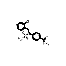 CS(=O)(=O)N(Cc1ccccc1Cl)c1ccc(C(N)=O)cc1